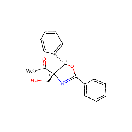 COC(=O)[C@@]1(CO)N=C(c2ccccc2)O[C@H]1c1ccccc1